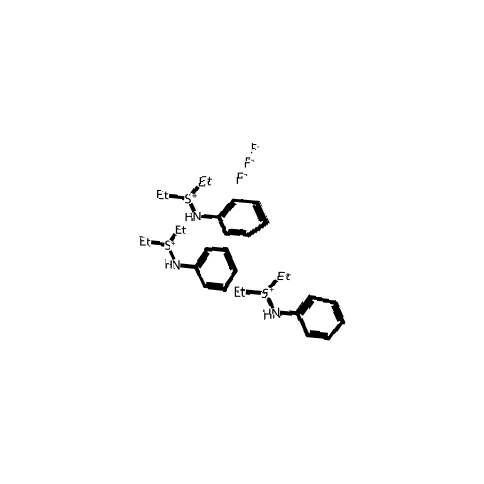 CC[S+](CC)Nc1ccccc1.CC[S+](CC)Nc1ccccc1.CC[S+](CC)Nc1ccccc1.[F-].[F-].[F-]